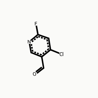 O=Cc1cnc(F)cc1Cl